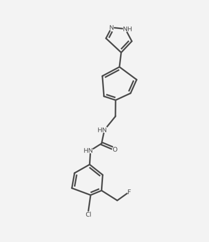 O=C(NCc1ccc(-c2cn[nH]c2)cc1)Nc1ccc(Cl)c(CF)c1